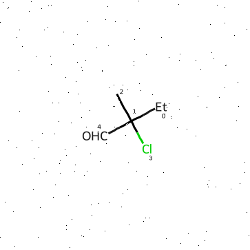 CCC(C)(Cl)C=O